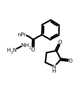 CCCC(=O)c1ccccc1.NN.O=C1CCNC1=O